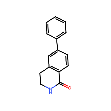 O=C1NCCc2cc(-c3ccccc3)ccc21